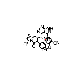 CC(C)Oc1ccc(-c2n[nH]c3ncnc([C@H](CN)c4cc5scc(Cl)n5c(=O)c4-c4ccccc4)c23)cc1C#N